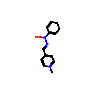 C[n+]1ccc(/C=N/N(O)C2=CCCC=C2)cc1